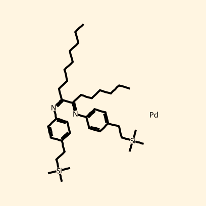 CCCCCCCCC(=Nc1ccc(CC[Si](C)(C)C)cc1)C(CCCCCC)=Nc1ccc(CC[Si](C)(C)C)cc1.[Pd]